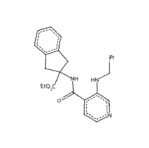 CCOC(=O)C1(NC(=O)c2ccncc2NCC(C)C)Cc2ccccc2C1